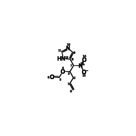 C=CCC(OC=O)C(c1cnc[nH]1)[N+](=O)[O-]